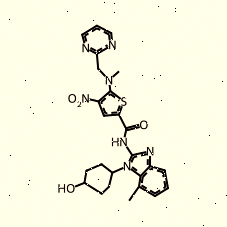 Cc1cccc2nc(NC(=O)c3cc([N+](=O)[O-])c(N(C)Cc4ncccn4)s3)n(C3CCC(O)CC3)c12